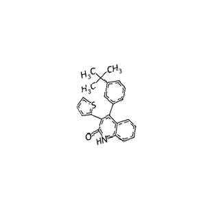 CC(C)(C)c1cccc(-c2c(-c3cccs3)c(=O)[nH]c3ccccc23)c1